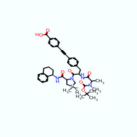 CC(C(=O)NC(Cc1ccc(C#Cc2ccc(C(=O)O)cc2)cc1)C(=O)N1C[Si](C)(C)CC1C(=O)N[C@@H]1CCCc2ccccc21)N(C)C(=O)OC(C)(C)C